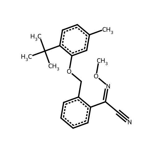 CO/N=C(/C#N)c1ccccc1COc1cc(C)ccc1C(C)(C)C